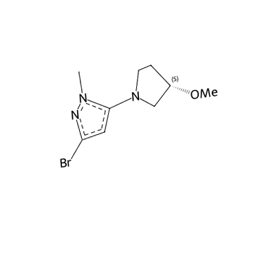 CO[C@H]1CCN(c2cc(Br)nn2C)C1